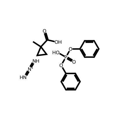 CC1(C(=O)O)CC1.N=[N+]=N.O=P(O)(Oc1ccccc1)Oc1ccccc1